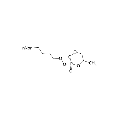 CCCCCCCCCCCCCOOP1(=O)OOCC(C)O1